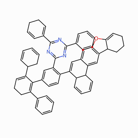 C1=CCC(C2=CCCC(c3ccccc3)=C2c2ccc(C3=Cc4cc5c(cc4C4C=CC=CC34)C3CCCC=C3O5)c(-c3nc(C4=CCCC=C4)nc(-c4ccccc4)n3)c2)C=C1